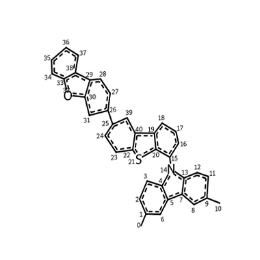 Cc1ccc2c(c1)c1cc(C)ccc1n2-c1cccc2c1sc1ccc(-c3ccc4c(c3)oc3ccccc34)cc12